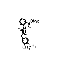 COC(=O)c1ccccc1NC(=O)C1=Cc2cc(C)c(C)cc2C1